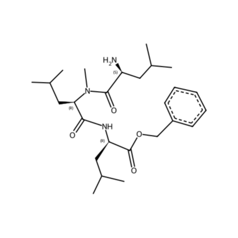 CC(C)C[C@H](C(=O)N[C@H](CC(C)C)C(=O)OCc1ccccc1)N(C)C(=O)[C@@H](N)CC(C)C